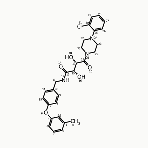 Cc1cccc(Oc2ccc(CNC(=O)[C@H](O)[C@@H](O)C(=O)N3CCN(c4ccccc4Cl)CC3)cc2)c1